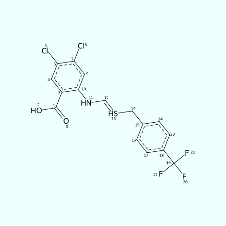 O=C(O)c1cc(Cl)c(Cl)cc1NC=[SH]Cc1ccc(C(F)(F)F)cc1